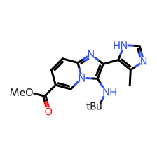 COC(=O)c1ccc2nc(-c3[nH]cnc3C)c(NC(C)(C)C)n2c1